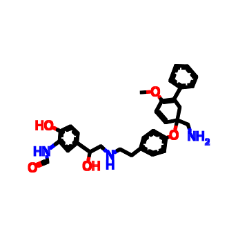 COC1=C(c2ccccc2)CC(CN)(Oc2ccc(CCNCC(O)c3ccc(O)c(NC=O)c3)cc2)C=C1